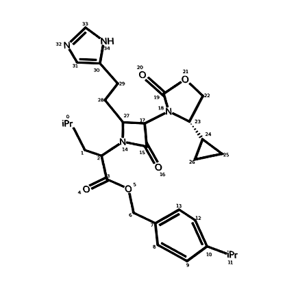 CC(C)CC(C(=O)OCc1ccc(C(C)C)cc1)N1C(=O)C(N2C(=O)OC[C@@H]2C2CC2)C1CCc1cnc[nH]1